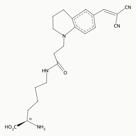 N#CC(C#N)=Cc1ccc2c(c1)CCCN2CCC(=O)NCCCC[C@@H](N)C(=O)O